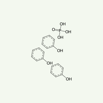 O=P(O)(O)O.Oc1ccccc1.Oc1ccccc1.Oc1ccccc1